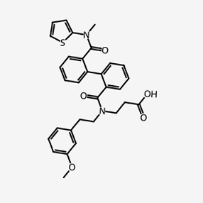 COc1cccc(CCN(CCC(=O)O)C(=O)c2ccccc2-c2ccccc2C(=O)N(C)c2cccs2)c1